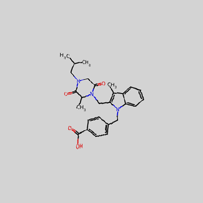 Cc1c(CN2C(=O)CN(CC(C)C)C(=O)C2C)n(Cc2ccc(C(=O)O)cc2)c2ccccc12